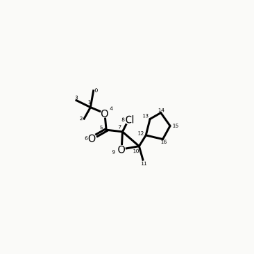 CC(C)(C)OC(=O)C1(Cl)OC1(C)C1CCCC1